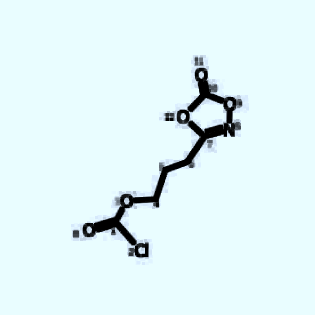 O=C(Cl)OCCCc1noc(=O)o1